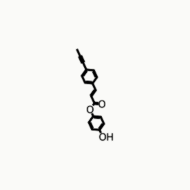 CC#Cc1ccc(/C=C/C(=O)Oc2ccc(O)cc2)cc1